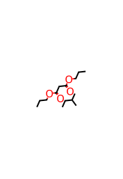 CCC(C)C.CCCOC(=O)CC(=O)OCCC